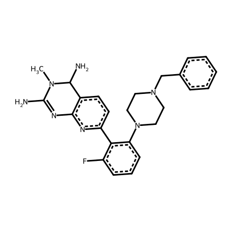 CN1C(N)=Nc2nc(-c3c(F)cccc3N3CCN(Cc4ccccc4)CC3)ccc2C1N